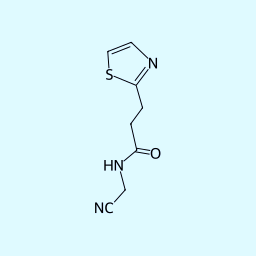 N#CCNC(=O)CCc1nccs1